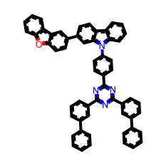 c1ccc(-c2cccc(-c3nc(-c4ccc(-n5c6ccccc6c6ccc(-c7ccc8oc9ccccc9c8c7)cc65)cc4)nc(-c4cccc(-c5ccccc5)c4)n3)c2)cc1